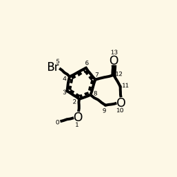 COc1cc(Br)cc2c1COCC2=O